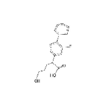 O=C(O)C(CCCO)c1ccc(-c2ccccc2)c(F)c1